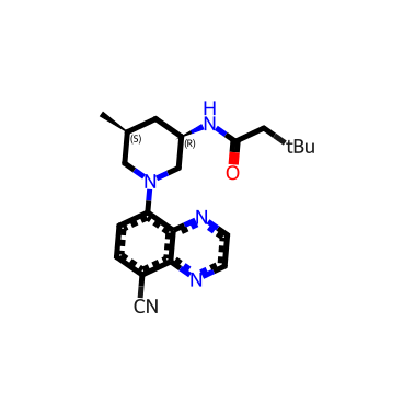 C[C@H]1C[C@@H](NC(=O)CC(C)(C)C)CN(c2ccc(C#N)c3nccnc23)C1